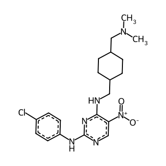 CN(C)CC1CCC(CNc2nc(Nc3ccc(Cl)cc3)ncc2[N+](=O)[O-])CC1